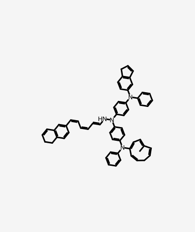 CC1=C\C=C(\N(c2ccccc2)c2ccc(N(N/C=C/C=C\C=C/c3ccc4c(c3)C=CCC4)c3ccc(N(c4ccccc4)c4ccc5c(c4)C=CC5)cc3)cc2)C=CC/C=C\1